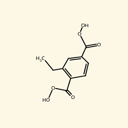 CCc1cc(C(=O)OO)ccc1C(=O)OO